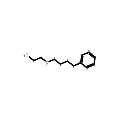 CCCOCCCCc1ccccc1